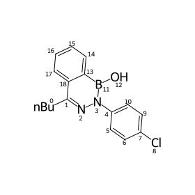 CCCCC1=NN(c2ccc(Cl)cc2)B(O)c2ccccc21